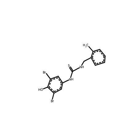 Cc1ccccc1CNC(=S)Nc1cc(Br)c(O)c(Br)c1